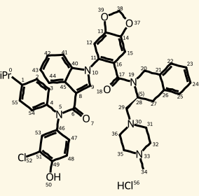 CC(C)c1ccc(N(C(=O)c2cn(-c3cc4c(cc3C(=O)N3Cc5ccccc5C[C@H]3CN3CCN(C)CC3)OCO4)c3ccccc23)c2ccc(O)c(Cl)c2)cc1.Cl